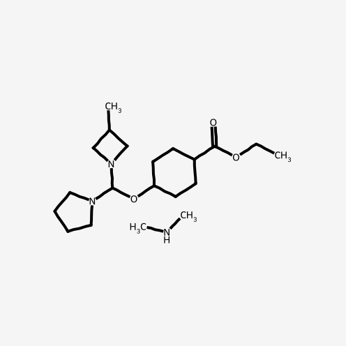 CCOC(=O)C1CCC(OC(N2CCCC2)N2CC(C)C2)CC1.CNC